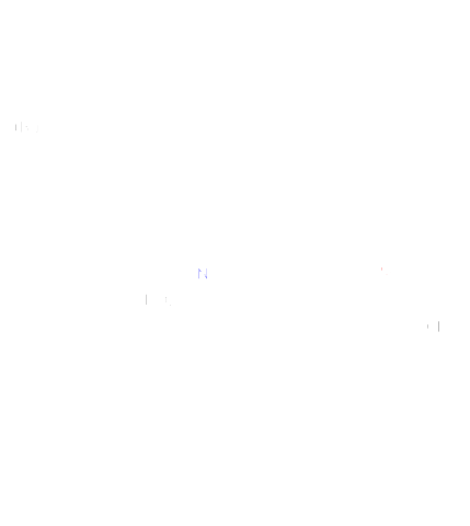 CC(Oc1cccc(CN(C)CC=CC#CC(C)(C)C)c1)c1ccccc1